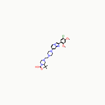 COc1cc(OC)c(-c2cn3ccc(N4CCN(CCN5CCN(C(=O)O)C(C(C)(C)C)C5)CC4)cc3n2)cc1Cl